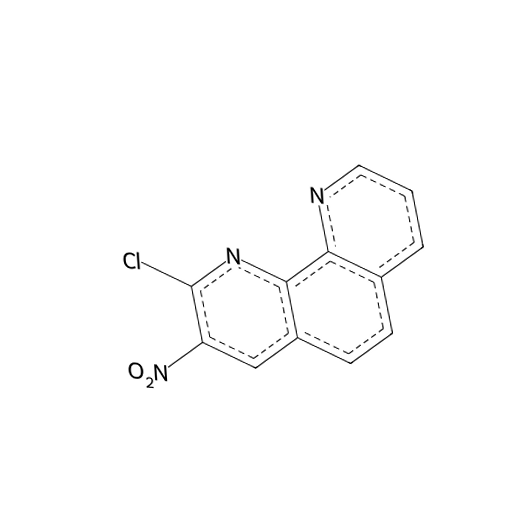 O=[N+]([O-])c1cc2ccc3cccnc3c2nc1Cl